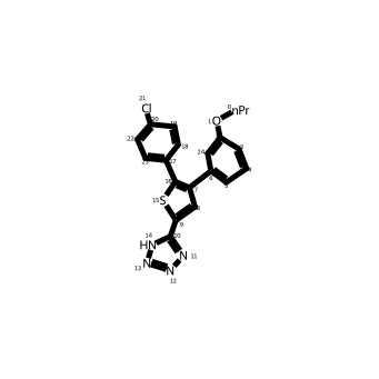 CCCOc1cccc(-c2cc(-c3nnn[nH]3)sc2-c2ccc(Cl)cc2)c1